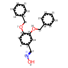 O/N=C/c1ccc(OCc2ccccc2)c(OCc2ccccc2)c1